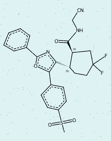 CS(=O)(=O)c1ccc(-c2oc(-c3ccccc3)nc2[C@H]2CCC(F)(F)C[C@@H]2C(=O)NCC#N)cc1